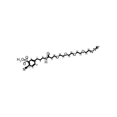 CS(=O)(=O)c1cc(CCCNC(=O)CCOCCOCCOCCOCCN=[N+]=[N-])ccc1C#N